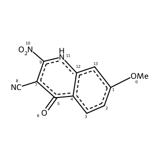 COc1ccc2c(=O)c(C#N)c([N+](=O)[O-])[nH]c2c1